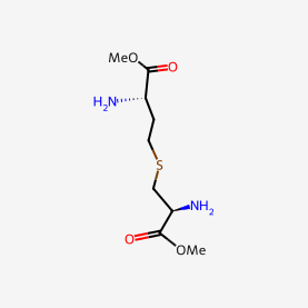 COC(=O)[C@H](N)CSCC[C@H](N)C(=O)OC